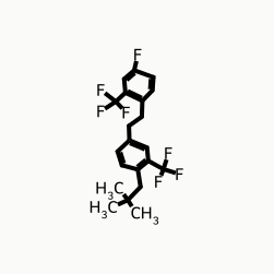 CC(C)(C)Cc1ccc(CCc2ccc(F)cc2C(F)(F)F)cc1C(F)(F)F